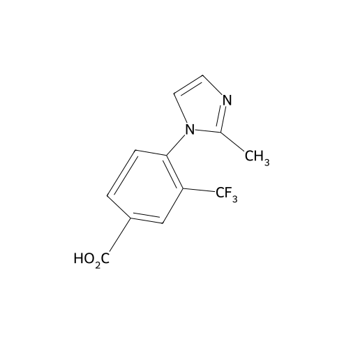 Cc1nccn1-c1ccc(C(=O)O)cc1C(F)(F)F